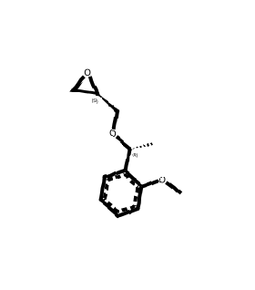 COc1ccccc1[C@@H](C)OC[C@H]1CO1